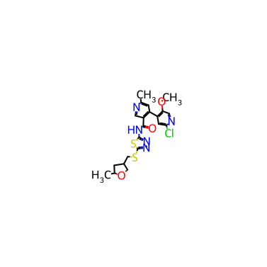 COc1cnc(Cl)cc1-c1cc(C)ncc1C(=O)Nc1nnc(SCC2COC(C)C2)s1